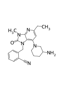 CCc1cc(N2CCCC(N)C2)c2c(n1)n(C)c(=O)n2Cc1ccccc1C#N